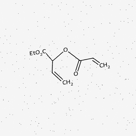 C=CC(=O)OC(C=C)C(=O)OCC